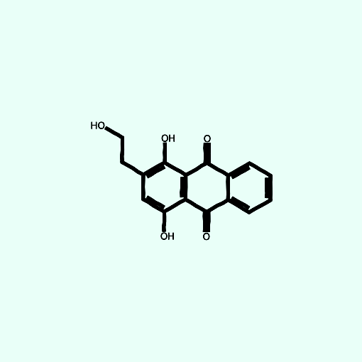 O=C1c2ccccc2C(=O)c2c(O)c(CCO)cc(O)c21